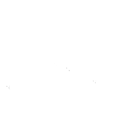 O=S(=O)(c1cccc2cnccc12)N1CCN(C2CCCC2)CC1